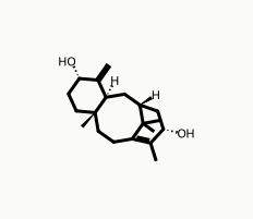 C=C1[C@H]2C[C@@H]3C[C@H](O)C(C)=C(CC[C@]2(C)CC[C@@H]1O)C3(C)C